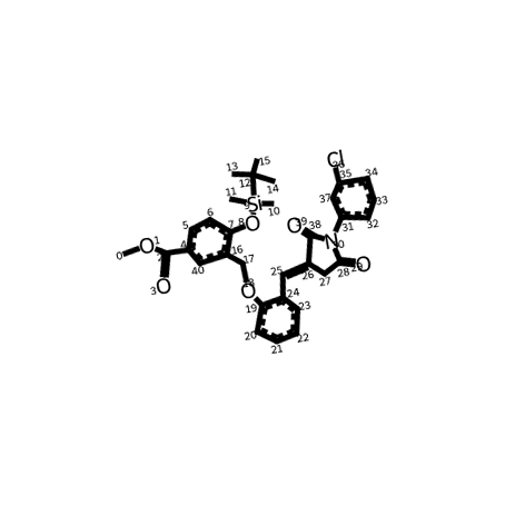 COC(=O)c1ccc(O[Si](C)(C)C(C)(C)C)c(COc2ccccc2/C=C2\CC(=O)N(c3cccc(Cl)c3)C2=O)c1